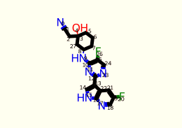 N#CC[C@@]1(O)CCC[C@H](Nc2nc(-c3c[nH]c4ncc(F)cc34)ncc2F)C1